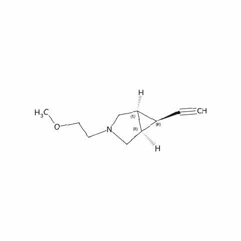 C#C[C@H]1[C@H]2CN(CCOC)C[C@@H]12